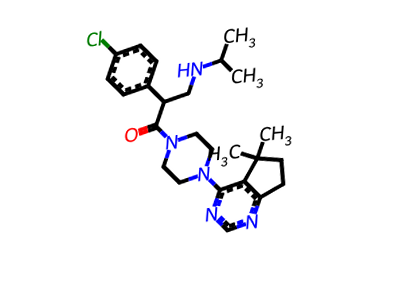 CC(C)NCC(C(=O)N1CCN(c2ncnc3c2C(C)(C)CC3)CC1)c1ccc(Cl)cc1